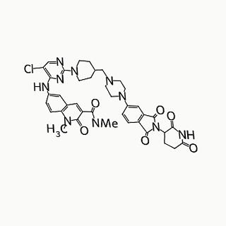 CNC(=O)c1cc2cc(Nc3nc(N4CCC(CN5CCN(c6ccc7c(c6)C(=O)N(C6CCC(=O)NC6=O)C7=O)CC5)CC4)ncc3Cl)ccc2n(C)c1=O